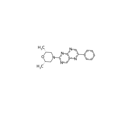 C[C@@H]1CN(c2ncc3nc(-c4ccccc4)cnc3n2)C[C@H](C)O1